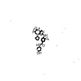 COc1cc(C(=O)NC2CCC(O)CC2)ccc1Nc1ncc2c(n1)N(C1CCCC1)CC(F)(F)C(=O)N2C